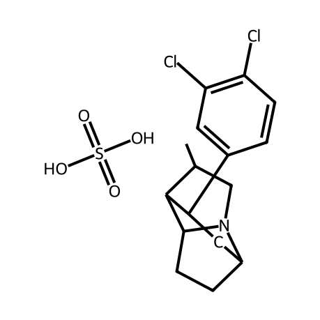 CC1CN2C3CCC2C1C(c1ccc(Cl)c(Cl)c1)C3.O=S(=O)(O)O